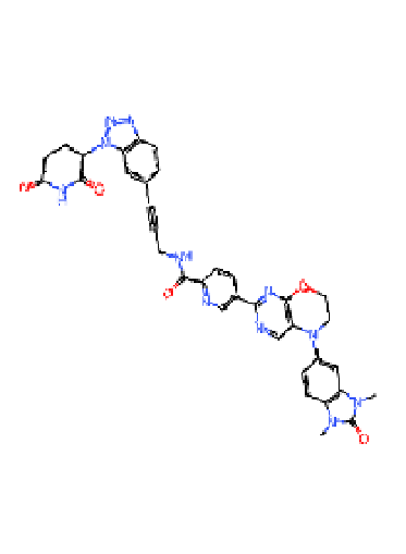 Cn1c(=O)n(C)c2cc(N3CCOc4nc(-c5ccc(C(=O)NCC#Cc6ccc7nnn(C8CCC(=O)NC8=O)c7c6)nc5)ncc43)ccc21